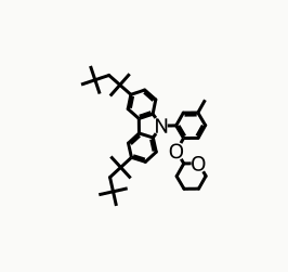 Cc1ccc(OC2CCCCO2)c(-n2c3ccc(C(C)(C)CC(C)(C)C)cc3c3cc(C(C)(C)CC(C)(C)C)ccc32)c1